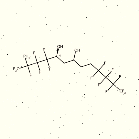 OC(CCC(F)(F)C(F)(F)C(F)(F)C(F)(F)F)C[C@H](O)C(F)(F)C(F)(F)C(F)(P)C(F)(F)F